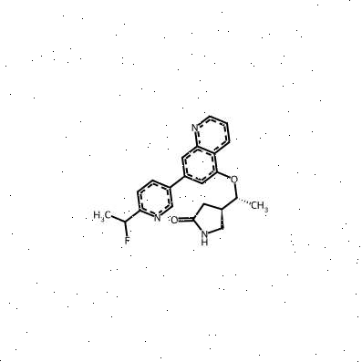 CC(F)c1ccc(-c2cc(O[C@H](C)[C@H]3CNC(=O)C3)c3cccnc3c2)cn1